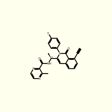 C#Cc1cccc2cc([C@H](C)NC(=O)c3nccnc3C)n(-c3ccc(F)cc3)c(=O)c12